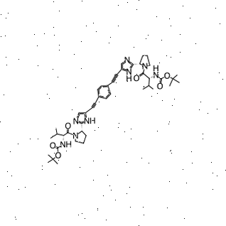 CC(C)[C@@H](NC(=O)OC(C)(C)C)C(=O)N1CCC[C@H]1c1ncc(C#Cc2ccc(C#Cc3cnc([C@@H]4CCCN4C(=O)[C@H](NC(=O)OC(C)(C)C)C(C)C)[nH]3)cc2)[nH]1